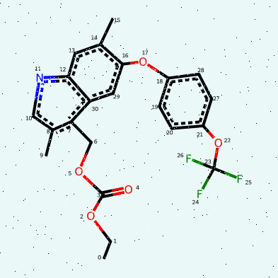 CCOC(=O)OCc1c(C)cnc2cc(C)c(Oc3ccc(OC(F)(F)F)cc3)cc12